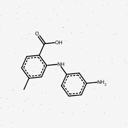 Cc1ccc(C(=O)O)c(Nc2cccc(N)c2)c1